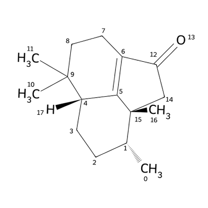 C[C@@H]1CC[C@H]2C3=C(CCC2(C)C)C(=O)C[C@@]31C